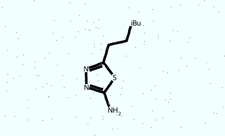 CCC(C)CCc1nnc(N)s1